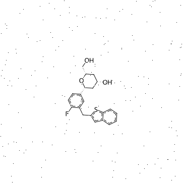 OC[C@@H]1C[C@H](O)C[C@H](c2ccc(F)c(Cc3cc4ccccc4s3)c2)O1